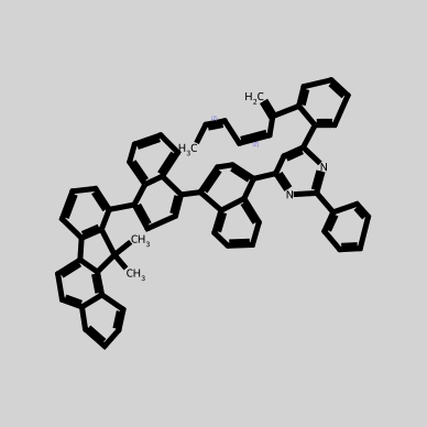 C=C(/C=C\C=C/C)c1ccccc1-c1cc(-c2ccc(-c3ccc(-c4cccc5c4C(C)(C)c4c-5ccc5ccccc45)c4ccccc34)c3ccccc23)nc(-c2ccccc2)n1